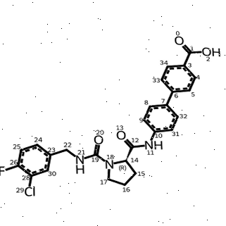 O=C(O)c1ccc(-c2ccc(NC(=O)[C@H]3CCCN3C(=O)NCc3ccc(F)c(Cl)c3)cc2)cc1